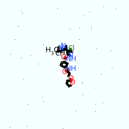 CC1(C)Cc2c(-c3cc(NC(=O)[C@H]4CCC[C@@H](NC(=O)CCOC5CCCCO5)C4)ncc3Cl)cnn2C1